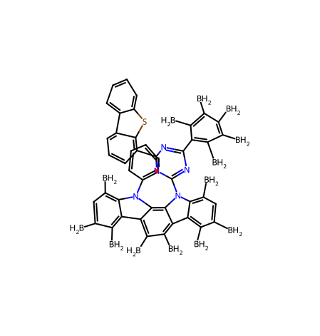 Bc1cc(B)c2c(c1B)c1c(B)c(B)c3c4c(B)c(B)cc(B)c4n(-c4nc(-c5c(B)c(B)c(B)c(B)c5B)nc(-c5cccc6c5sc5ccccc56)n4)c3c1n2-c1ccccc1